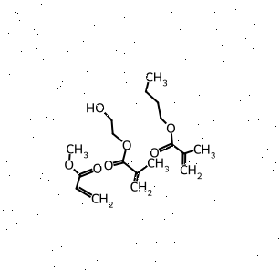 C=C(C)C(=O)OCCCC.C=C(C)C(=O)OCCO.C=CC(=O)OC